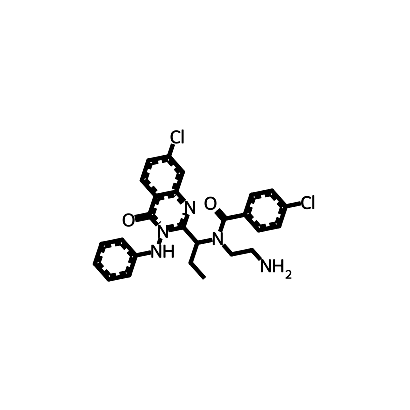 CCC(c1nc2cc(Cl)ccc2c(=O)n1Nc1ccccc1)N(CCN)C(=O)c1ccc(Cl)cc1